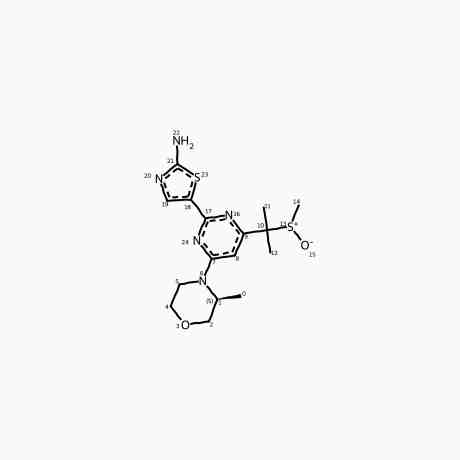 C[C@H]1COCCN1c1cc(C(C)(C)[S+](C)[O-])nc(-c2cnc(N)s2)n1